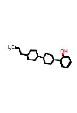 C=CCC1CCC(C2CCC(c3ccccc3O)CC2)CC1